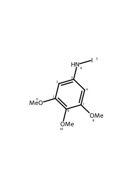 COc1cc(NI)cc(OC)c1OC